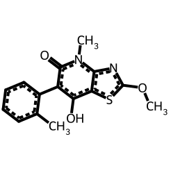 COc1nc2c(s1)c(O)c(-c1ccccc1C)c(=O)n2C